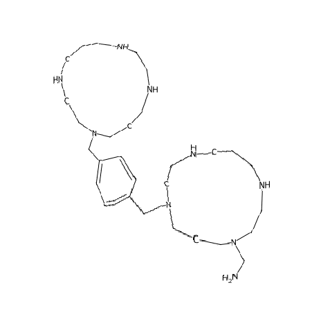 NCN1CCCN(Cc2ccc(CN3CCCNCCNCCCNCC3)cc2)CCNCCCNCC1